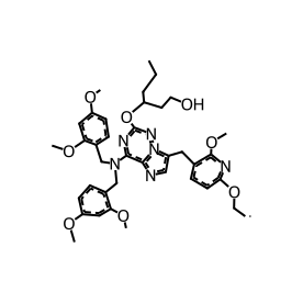 [CH2]COc1ccc(Cc2cnc3c(N(Cc4ccc(OC)cc4OC)Cc4ccc(OC)cc4OC)nc(OC(CCC)CCO)nn23)c(OC)n1